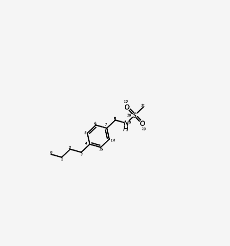 CCCCc1ccc(CNS(C)(=O)=O)cc1